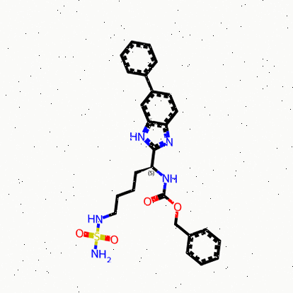 NS(=O)(=O)NCCCC[C@H](NC(=O)OCc1ccccc1)c1nc2ccc(-c3ccccc3)cc2[nH]1